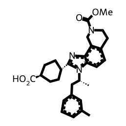 COC(=O)N1CCc2ccc3c(nc([C@H]4CC[C@H](C(=O)O)CC4)n3[C@H](C)Cc3cccc(C)c3)c2C1